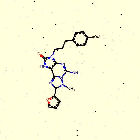 COc1ccc(CCCn2c3c([nH]c2=O)C2=NC(c4ccco4)N(C)N2C(N)=N3)cc1